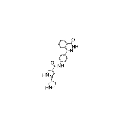 O=C(Nc1ccc(-c2n[nH]c(=O)c3ccccc23)cc1)C1=CN(C2CCNC2)NC1